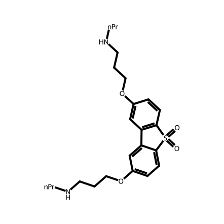 CCCNCCCOc1ccc2c(c1)-c1cc(OCCCNCCC)ccc1S2(=O)=O